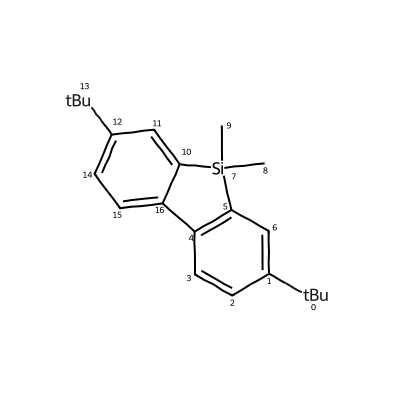 CC(C)(C)c1ccc2c(c1)[Si](C)(C)c1cc(C(C)(C)C)ccc1-2